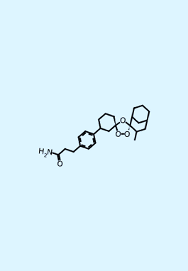 CC1CC2CCCC(C2)[C@@]12OO[C@@]1(CCCC(c3ccc(CCC(N)=O)cc3)C1)O2